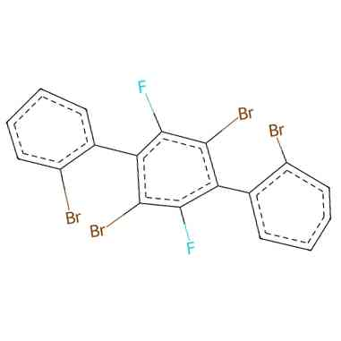 Fc1c(Br)c(-c2ccccc2Br)c(F)c(Br)c1-c1ccccc1Br